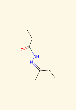 CCC(=O)NN=C(C)CC